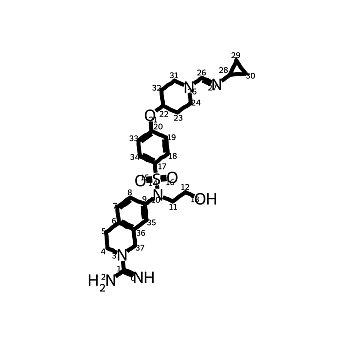 N=C(N)N1CCc2ccc(N(CCO)S(=O)(=O)c3ccc(OC4CCN(C=NC5CC5)CC4)cc3)cc2C1